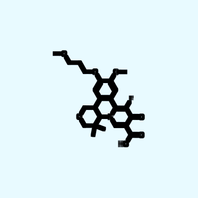 COCCCOc1cc2c(cc1OC)-c1c(F)c(=O)c(C(=O)O)cn1C1C2COCC1(C)C